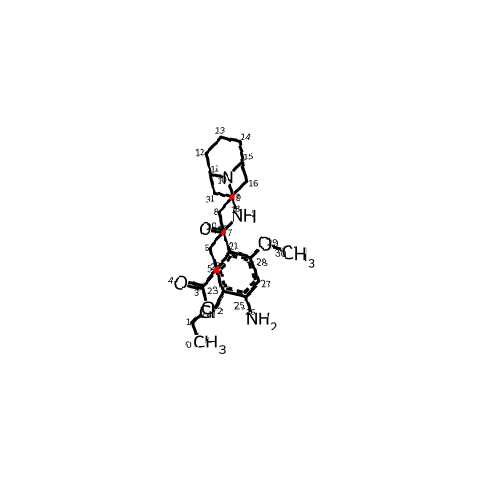 CCOC(=O)CCCCCN1C2CCCC1CC(NC(=O)c1cc(Cl)c(N)cc1OC)C2